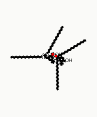 CCCCCCCCCCCCCCCCCCOP(=O)(Cc1cc(C(C)(C)C)c(OP(=O)(O)C(CCCCCCCCCCCCCCCCCC)(CCCCCCCCCCCCCCCCCC)c2ccc(CO)c(C(C)(C)C)c2)c(C(C)(C)C)c1)OCCCCCCCCCCCCCCCCCC